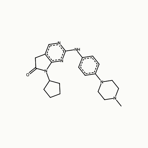 CN1CCN(c2ccc(Nc3ncc4c(n3)N(C3CCCC3)C(=O)C4)cc2)CC1